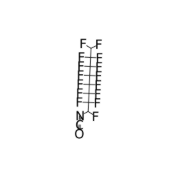 O=C=NC(F)C(F)(F)C(F)(F)C(F)(F)C(F)(F)C(F)(F)C(F)(F)C(F)F